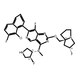 CN(c1nc(OC[C@@]23CCCN2C[C@H](F)C3)nc2c(F)c(-c3cccc4ccc(F)c(Cl)c34)ncc12)[C@H]1CNC[C@@H]1F